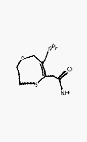 CCCC1=C(C([NH])=O)SCCO1